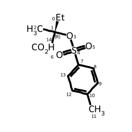 CC[C@@](C)(OS(=O)(=O)c1ccc(C)cc1)C(=O)O